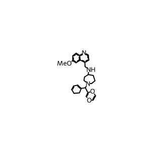 COc1ccc2nccc(CNC3CCCN(C(C4=CC=CCC4)C4=COC=CO4)CC3)c2c1